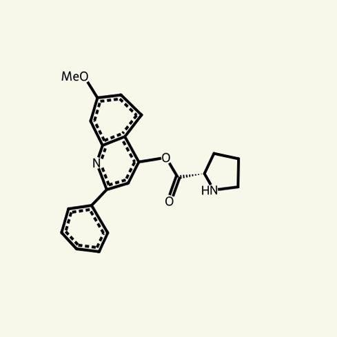 COc1ccc2c(OC(=O)[C@@H]3CCCN3)cc(-c3ccccc3)nc2c1